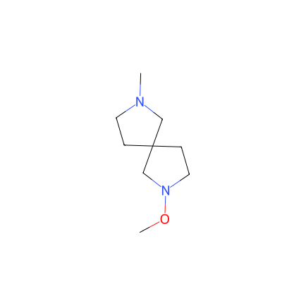 CON1CCC2(CCN(C)C2)C1